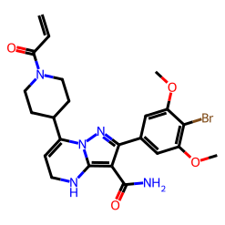 C=CC(=O)N1CCC(C2=CCNc3c(C(N)=O)c(-c4cc(OC)c(Br)c(OC)c4)nn32)CC1